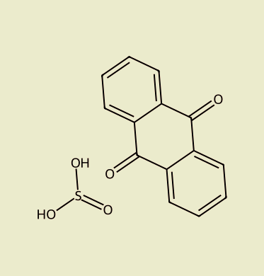 O=C1c2ccccc2C(=O)c2ccccc21.O=S(O)O